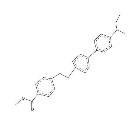 CCC(C)c1ccc(-c2ccc(CCc3ccc(C(=O)OC)cc3)cc2)cc1